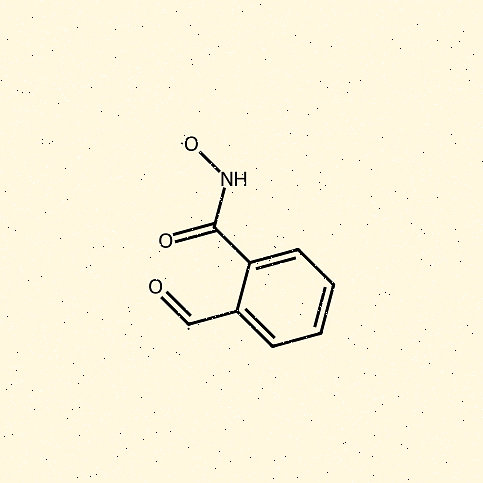 [O]NC(=O)c1ccccc1[C]=O